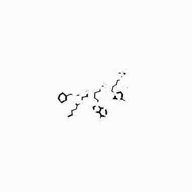 C=CCCC(=O)N[C@@H](COCc1ccccc1)C(=O)O[C@@H]([C@@H](O)n1cnc2c(N)ncnc21)[C@@H](COP(=O)(O)O[C@@H]([C@@H](O)n1ccc(N)nc1=O)[C@@H](COP(=O)(O)O)OC)OC